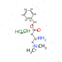 CN(C)CC(N)CC(=O)OCc1ccccc1.Cl.Cl